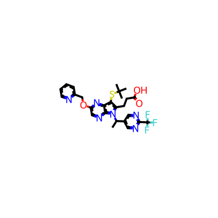 CC(c1cnc(C(F)(F)F)nc1)n1c(CCC(=O)O)c(SC(C)(C)C)c2nc(OCc3ccccn3)cnc21